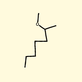 CCCCCC(C)OC